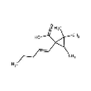 CCCC=CC1(C(=O)O)C(C)C1(C)C